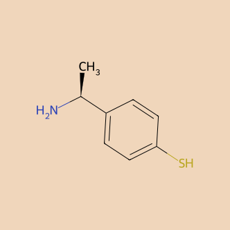 C[C@H](N)c1ccc(S)cc1